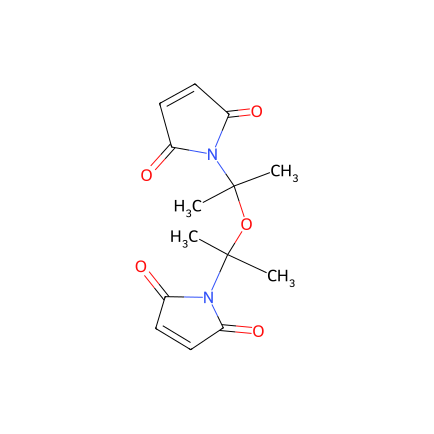 CC(C)(OC(C)(C)N1C(=O)C=CC1=O)N1C(=O)C=CC1=O